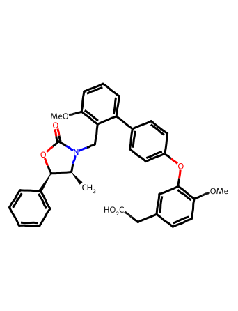 COc1ccc(CC(=O)O)cc1Oc1ccc(-c2cccc(OC)c2CN2C(=O)O[C@H](c3ccccc3)[C@@H]2C)cc1